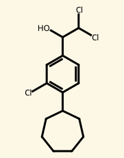 OC(c1ccc(C2CCCCCC2)c(Cl)c1)C(Cl)Cl